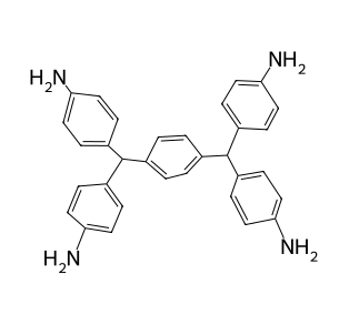 Nc1ccc(C(c2ccc(N)cc2)c2ccc(C(c3ccc(N)cc3)c3ccc(N)cc3)cc2)cc1